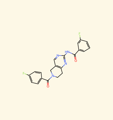 O=C(Nc1ncc2c(n1)CCN(C(=O)c1ccc(F)cc1)C2)c1cccc(F)c1